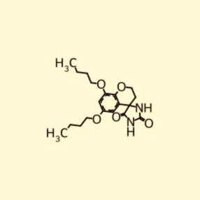 CCCCOc1cc(OCCCC)c2c(c1)C1(CCO2)NC(=O)NC1=O